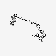 N#Cc1cccc(-c2ccc(=O)n(Cc3cccc(-c4ncc(OCC5CCN(C(=O)CCOCCOCCOCCOCCNc6cccc7cnn(C8CCC(=O)NC8=O)c(=O)c67)CC5)cn4)c3)n2)c1